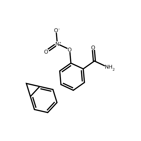 NC(=O)c1ccccc1O[N+](=O)[O-].c1ccc2c(c1)C2